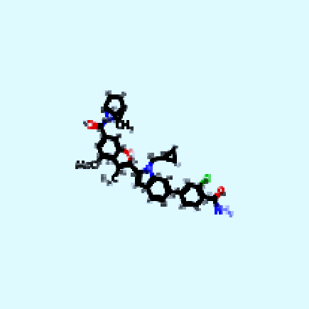 COc1cc(C(=O)N2CC3CCC2[C@@H]3C)cc2oc(-c3cc4ccc(-c5ccc(C(N)=O)c(Cl)c5)cc4n3CC3CC3)c(C)c12